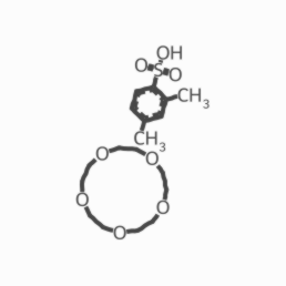 C1COCCOCCOCCOCCO1.Cc1ccc(S(=O)(=O)O)c(C)c1